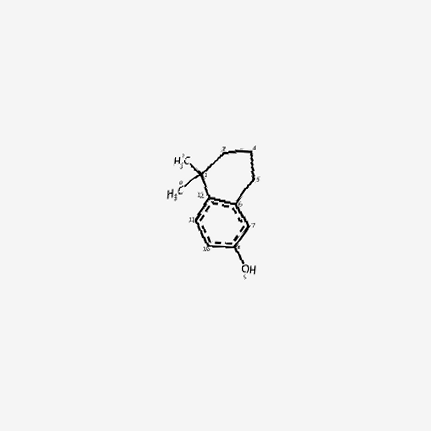 CC1(C)CCCc2cc(O)ccc21